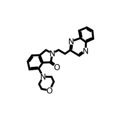 O=C1c2c(cccc2N2CCOCC2)CN1CCc1cnc2ccccc2n1